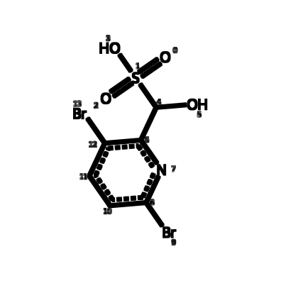 O=S(=O)(O)C(O)c1nc(Br)ccc1Br